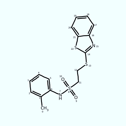 Cc1ccccc1NS(=O)(=O)CCSc1nc2ccccc2s1